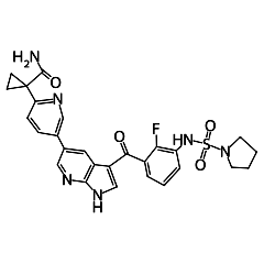 NC(=O)C1(c2ccc(-c3cnc4[nH]cc(C(=O)c5cccc(NS(=O)(=O)N6CCCC6)c5F)c4c3)cn2)CC1